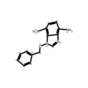 Nc1ccc(N)c2c1ncn2OCc1ccccc1